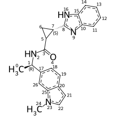 C[C@@H](NC(=O)C1C[C@@H]1c1nc2ccccc2[nH]1)c1ccc2ccn(C)c2c1